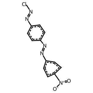 O=[N+]([O-])c1ccc(N=Nc2ccc(N=NCl)cc2)cc1